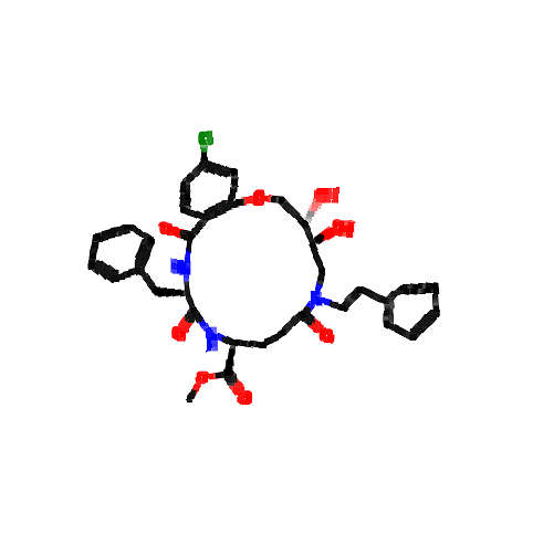 COC(=O)[C@@H]1CCC(=O)N(CCc2ccccc2)C[C@H](O)[C@@H](O)COc2cc(Cl)ccc2C(=O)N[C@H](Cc2ccccc2)C(=O)N1